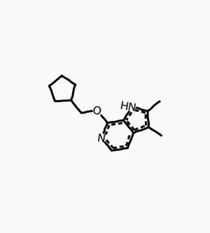 Cc1[nH]c2c(OCC3CCCC3)nccc2c1C